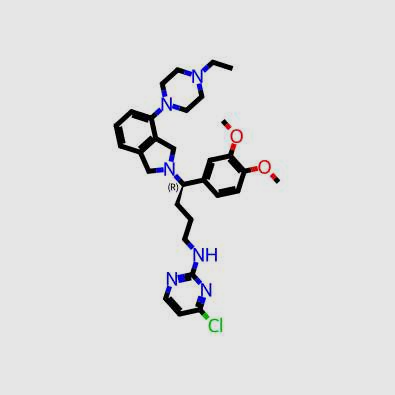 CCN1CCN(c2cccc3c2CN([C@H](CCCNc2nccc(Cl)n2)c2ccc(OC)c(OC)c2)C3)CC1